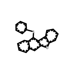 c1ccc(Sc2c3ccccc3cc3oc4ccccc4c23)cc1